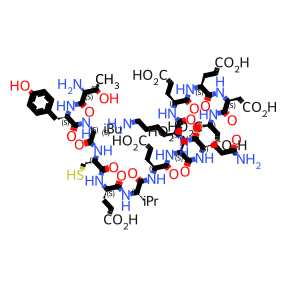 CC[C@H](C)[C@H](NC(=O)[C@H](Cc1ccc(O)cc1)NC(=O)[C@@H](N)[C@@H](C)O)C(=O)N[C@@H](CS)C(=O)N[C@@H](CCC(=O)O)C(=O)N[C@H](C(=O)N[C@@H](CCC(=O)O)C(=O)N[C@@H](CC(=O)O)C(=O)N[C@@H](CCC(N)=O)C(=O)N[C@@H](CCCCN)C(=O)N[C@@H](CCC(=O)O)C(=O)N[C@@H](CCC(=O)O)C(=O)N[C@@H](CC(=O)O)C(=O)N[C@@H](CC(=O)O)C(=O)O)C(C)C